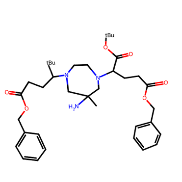 CC1(N)CN(C(CCC(=O)OCc2ccccc2)C(=O)OC(C)(C)C)CCN(C(CCC(=O)OCc2ccccc2)C(C)(C)C)C1